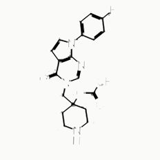 O=C(OC1(Cn2cnc3c(ccn3-c3ccc(F)cc3)c2=O)CCNCC1)C(F)(F)F